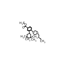 CCCCN1CCN(c2ccc(C(=O)OC)cc2C2CC(C)(C)CC(C)(C)C2)CC1